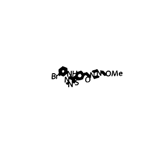 COCCN1CCN(C(=O)CC2CCc3c(sc4ncnc(Nc5cccc(Br)c5)c34)C2)CC1